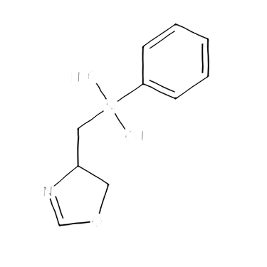 C[Si](C)(CC1CO[C]=N1)c1ccccc1